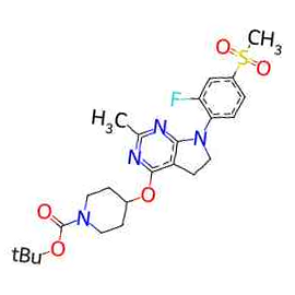 Cc1nc(OC2CCN(C(=O)OC(C)(C)C)CC2)c2c(n1)N(c1ccc(S(C)(=O)=O)cc1F)CC2